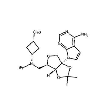 CC(C)N(C[C@H]1OC[C@@]2(n3cnc4c(N)ncnc43)OC(C)(C)O[C@H]12)[C@H]1C[C@@H](C=O)C1